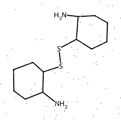 NC1CCCCC1SSC1CCCCC1N